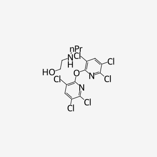 CCCNCCO.Clc1cc(Cl)c(Oc2nc(Cl)c(Cl)cc2Cl)nc1Cl